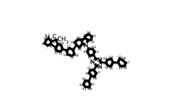 CC1(C)c2ccccc2-c2ccc(-c3cccc(-c4ccc5c6ccccc6n(-c6ccc(-c7nc(-c8ccc(-c9ccccc9)cc8)nc(-c8ccc(-c9ccccc9)cc8)n7)cc6)c5c4)c3)cc21